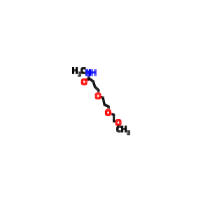 CNC(=O)CCCOCCCOCCOC